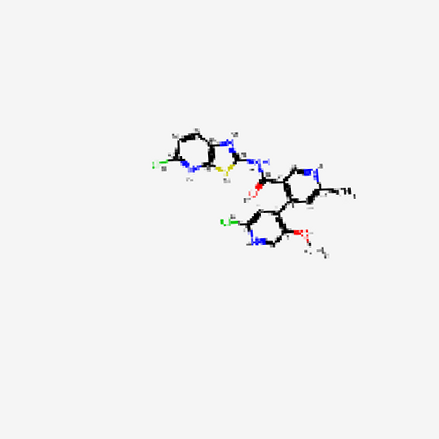 COc1cnc(Cl)cc1-c1cc(C)ncc1C(=O)Nc1nc2ccc(Cl)nc2s1